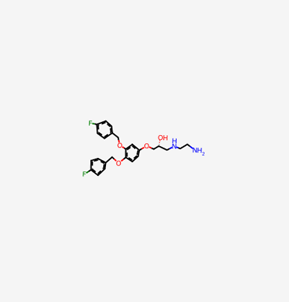 NCCNC[C@@H](O)COc1ccc(OCc2ccc(F)cc2)c(OCc2ccc(F)cc2)c1